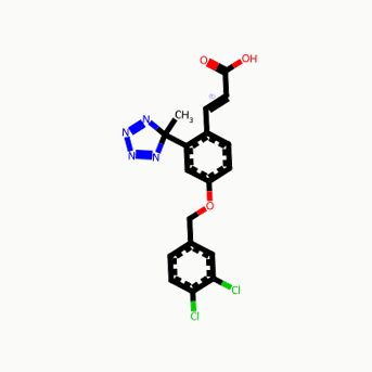 CC1(c2cc(OCc3ccc(Cl)c(Cl)c3)ccc2/C=C/C(=O)O)N=NN=N1